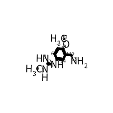 CNC(=N)Nc1ccc(OC)c(CN)c1